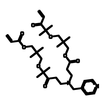 C=CC(=O)OCC(C)(C)COC(C)(C)C(=O)CCN(CCC(=O)OCC(C)(C)COC(C)(C)C(=O)C=C)Cc1ccncc1